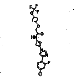 O=C(CO[C@H]1C[C@@H](OC(F)(F)F)C1)NC12CC(n3cnc(-c4ccc(Cl)cc4F)c3)(C1)C2